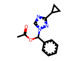 CC(=O)OC(c1ccccc1)n1cnc(C2CC2)n1